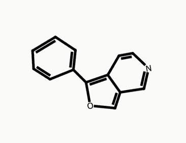 c1ccc(-c2occ3cnccc23)cc1